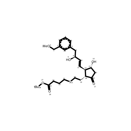 COCc1cccc(C[C@H](O)/C=C/[C@H]2[C@H](O)CC(=O)[C@@H]2CCSCCCC(=O)OC(C)(C)C)c1